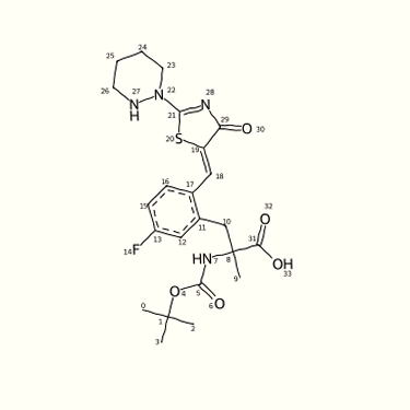 CC(C)(C)OC(=O)NC(C)(Cc1cc(F)ccc1C=C1SC(N2CCCCN2)=NC1=O)C(=O)O